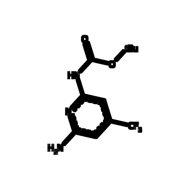 CC(C)(C)OC(=O)Nc1cc(C(F)(F)F)cc(N)n1